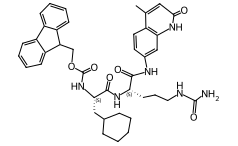 Cc1cc(=O)[nH]c2cc(NC(=O)[C@H](CCCNC(N)=O)NC(=O)[C@H](CC3CCCCC3)NC(=O)OCC3c4ccccc4-c4ccccc43)ccc12